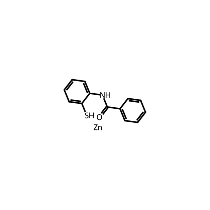 O=C(Nc1ccccc1S)c1ccccc1.[Zn]